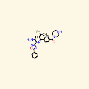 CC/C(C)=C/C(=N\C(=C(/C)N)c1noc(-c2ccccc2)n1)c1ccc(C(=O)N2CCCNCC2)cc1